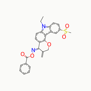 C=C1COc2c(ccc3c2c2cc(S(C)(=O)=O)ccc2n3CC)/C1=N/OC(=O)c1ccccc1